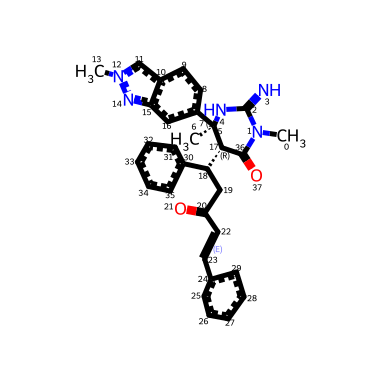 CN1C(=N)N[C@](C)(c2ccc3cn(C)nc3c2)[C@@H](C(CC(=O)/C=C/c2ccccc2)c2ccccc2)C1=O